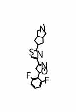 CN1CC2CC(c3nc(C4=NOC(c5c(F)cccc5F)C4)cs3)CC2C1